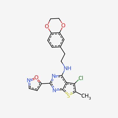 Cc1sc2nc(-c3ccno3)nc(NCCc3ccc4c(c3)OCCO4)c2c1Cl